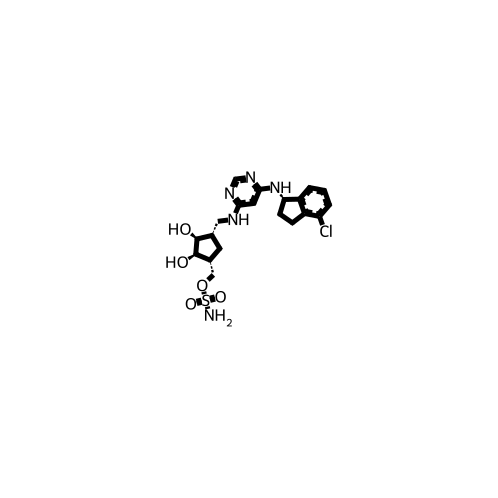 NS(=O)(=O)OC[C@H]1C[C@@H](CNc2cc(N[C@H]3CCc4c(Cl)cccc43)ncn2)[C@H](O)[C@@H]1O